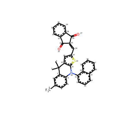 CC1(C)c2cc(C(F)(F)F)ccc2N(c2cccc3ccccc23)c2sc(C=C3C(=O)c4ccccc4C3=O)cc21